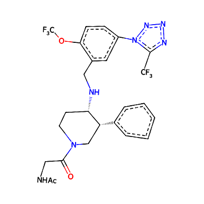 CC(=O)NCC(=O)N1CC[C@H](NCc2cc(-n3nnnc3C(F)(F)F)ccc2OC(F)(F)F)[C@H](c2ccccc2)C1